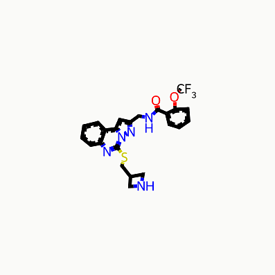 O=C(NCc1cc2c3ccccc3nc(SCC3CNC3)n2n1)c1ccccc1OC(F)(F)F